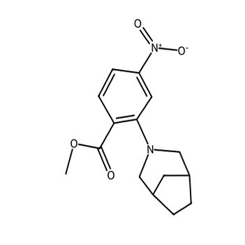 COC(=O)c1ccc([N+](=O)[O-])cc1N1CC2CCC(C2)C1